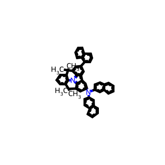 CC1(C)c2cccc3c2-n2c4c1cc(-c1cccc5ccccc15)cc4c1cc(N(c4ccc5ccccc5c4)c4ccc5ccccc5c4)cc(c12)C3(C)C